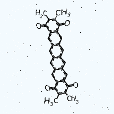 Cc1c(C)c(=O)c2cc3cc4cc5cc6c(=O)c(C)c(C)c(=O)c6cc5cc4cc3cc2c1=O